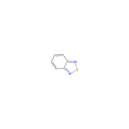 [c]1[c]c2nsnc2cc1